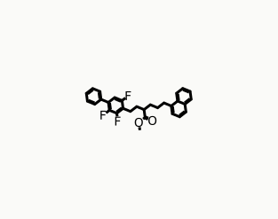 COC(=O)C(CCCc1cccc2ccccc12)CCc1c(F)cc(-c2ccccc2)c(F)c1F